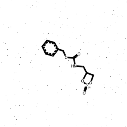 O=C(NCC1CO[S@@](=O)O1)OCc1ccccc1